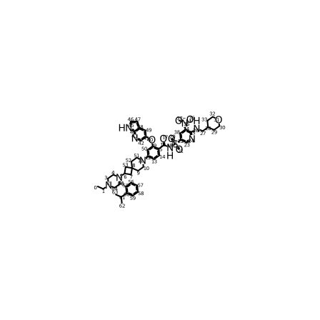 CCN1CCN(C2CC3(CCN(c4ccc(C(=O)NS(=O)(=O)c5cnc(NCC6CCOCC6)c([N+](=O)[O-])c5)c(Oc5cnc6[nH]ccc6c5)c4)CC3)C2)[C@H](c2ccccc2C(C)C)C1